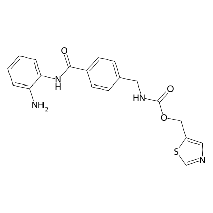 Nc1ccccc1NC(=O)c1ccc(CNC(=O)OCc2cncs2)cc1